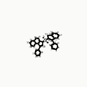 CS(C)(C1=C(c2ccccc2)c2ccccc2C1)C1C=C(c2ccccc2)c2c1ccc1ccccc21